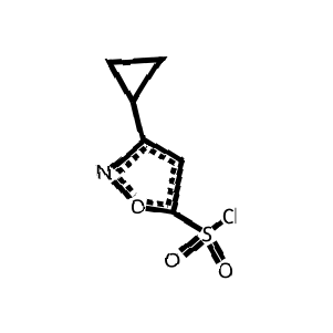 O=S(=O)(Cl)c1cc(C2CC2)no1